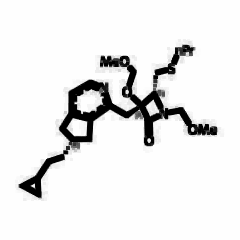 CCCSC[C@@H]1N(COC)C(=O)[C@]1(Cc1nccc2c1C[C@H](CCC1CC1)C2)OCOC